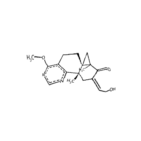 COc1ncnc2c1CC[C@@]13CC1(C)C(=O)/C(=C\O)C[C@]23C